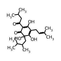 CC(C)=CCC1=C(O)[C@](O)(CC(C)C(C)C)C(=O)C(C(=O)CC(C)C)=C1O